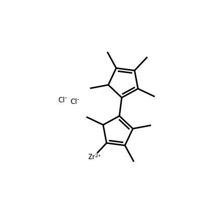 CC1=C(C)C(C)C(C2=C(C)C(C)=[C]([Zr+2])C2C)=C1C.[Cl-].[Cl-]